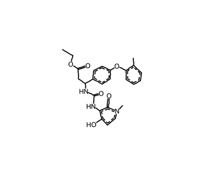 CCOC(=O)CC(NC(=O)Nc1c(O)ccn(C)c1=O)c1ccc(Oc2ccccc2C)cc1